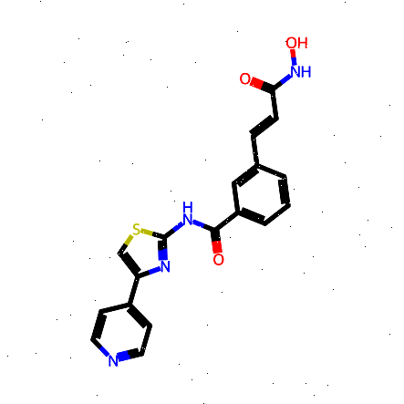 O=C(/C=C/c1cccc(C(=O)Nc2nc(-c3ccncc3)cs2)c1)NO